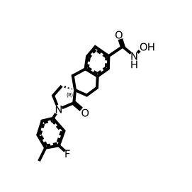 Cc1ccc(N2CC[C@]3(CCc4cc(C(=O)NO)ccc4C3)C2=O)cc1F